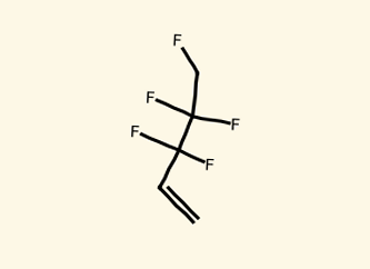 C=CC(F)(F)C(F)(F)CF